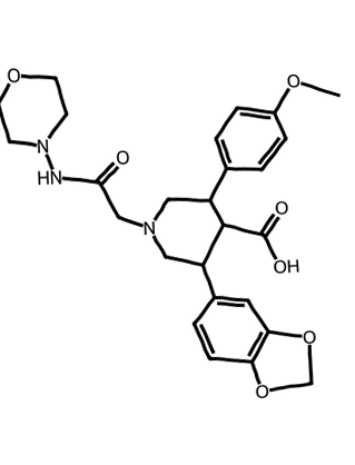 COc1ccc(C2CN(CC(=O)NN3CCOCC3)CC(c3ccc4c(c3)OCO4)C2C(=O)O)cc1